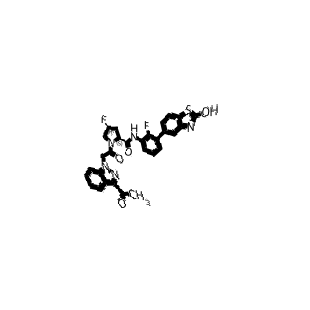 CC(=O)c1nn(CC(=O)N2C[C@H](F)C[C@H]2C(=O)Nc2cccc(-c3ccc4sc(O)nc4c3)c2F)c2ccccc12